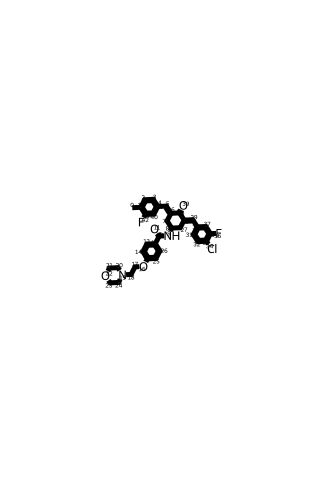 Cc1ccc(/C=C2\CC(NC(=O)c3ccc(OCCN4CCOCC4)cc3)C/C(=C\c3ccc(Cl)c(F)c3)C2=O)cc1F